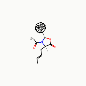 CC=CC[C@]1(C)C(=O)O[C@@H]([C]23[CH]4[CH]5[CH]6[CH]2[Fe]56432789[CH]3[CH]2[CH]7[CH]8[CH]39)N1C(=O)C(C)(C)C